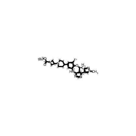 C[C@@H]1Oc2c(F)cc(C3CCN(C4CN(C(=O)OC(C)(C)C)C4)CC3)cc2Nc2ncnc(-c3cnn(C)c3)c21